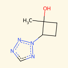 CC1(O)CCC1n1ncnn1